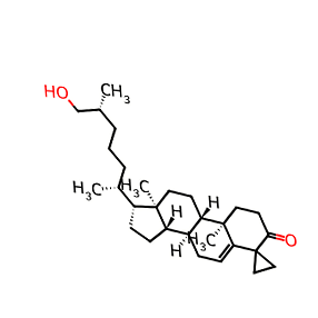 C[C@@H](CO)CCC[C@@H](C)[C@H]1CC[C@H]2[C@@H]3CC=C4C5(CC5)C(=O)CC[C@]4(C)[C@H]3CC[C@]12C